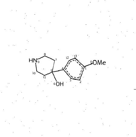 COc1ccc(C2(O)CCNCC2)cc1